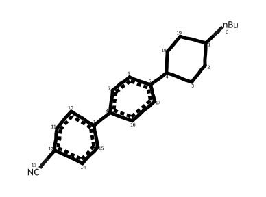 CCCCC1CCC(c2ccc(-c3ccc(C#N)cc3)cc2)CC1